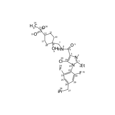 CCc1nc(C(=O)NCC2(O)CCC(S(C)(=O)=O)CC2)c(Cl)n1-c1c(F)cc(CC(C)C)cc1F